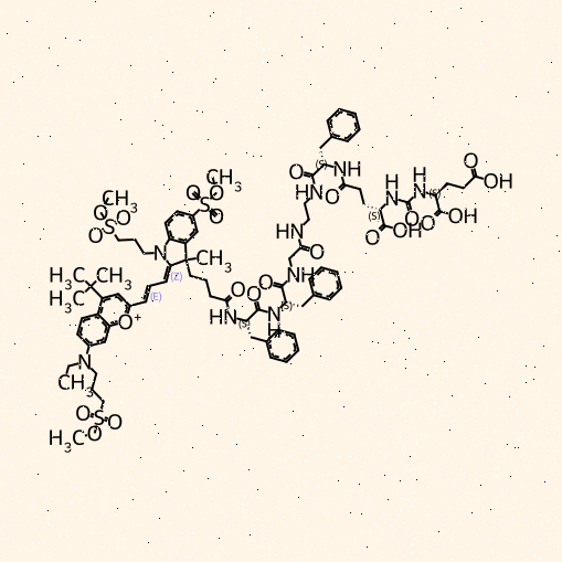 CCN(CCCS(=O)(=O)OC)c1ccc2c(C(C)(C)C)cc(/C=C/C=C3\N(CCCS(=O)(=O)OC)c4ccc(S(=O)(=O)OC)cc4C3(C)CCCC(=O)N[C@@H](Cc3ccccc3)C(=O)N[C@@H](Cc3ccccc3)C(=O)NCC(=O)NCCNC(=O)[C@H](Cc3ccccc3)NC(=O)CC[C@H](NC(=O)N[C@@H](CCC(=O)O)C(=O)O)C(=O)O)[o+]c2c1